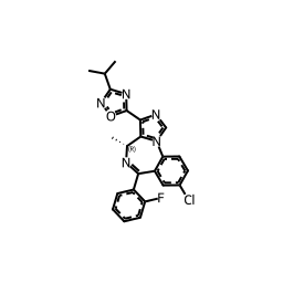 CC(C)c1noc(-c2ncn3c2[C@@H](C)N=C(c2ccccc2F)c2cc(Cl)ccc2-3)n1